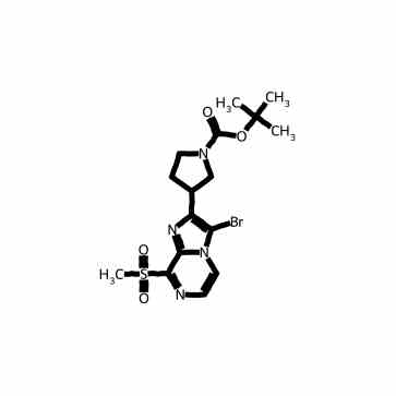 CC(C)(C)OC(=O)N1CCC(c2nc3c(S(C)(=O)=O)nccn3c2Br)C1